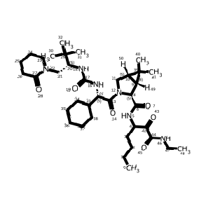 CCCCC(NC(=O)[C@@H]1[C@@H]2[C@H](CN1C(=O)[C@@H](NC(=O)N[C@H](CN1CCCCC1=O)C(C)(C)C)C1CCCCC1)C2(C)C)C(=O)C(=O)NCC